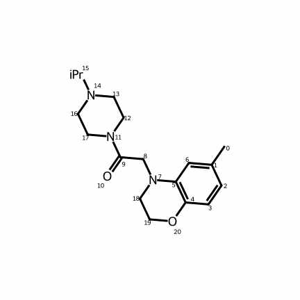 Cc1ccc2c(c1)N(CC(=O)N1CCN(C(C)C)CC1)CCO2